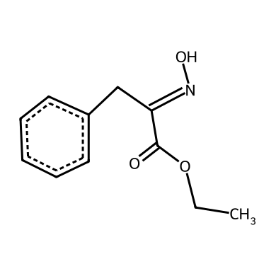 CCOC(=O)/C(Cc1ccccc1)=N/O